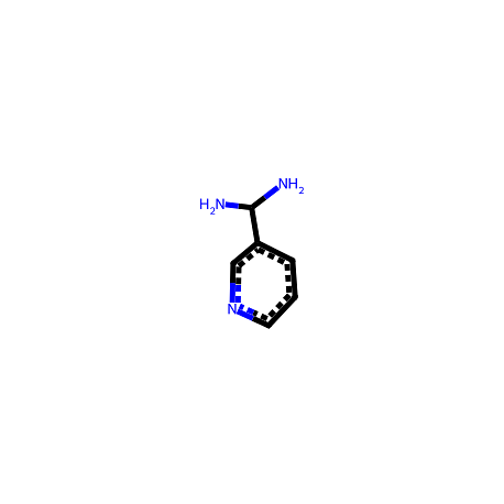 NC(N)c1cccnc1